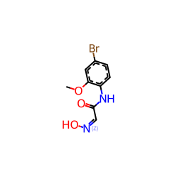 COc1cc(Br)ccc1NC(=O)/C=N\O